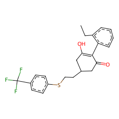 CCc1ccccc1C1=C(O)CC(CCSc2ccc(C(F)(F)F)cc2)CC1=O